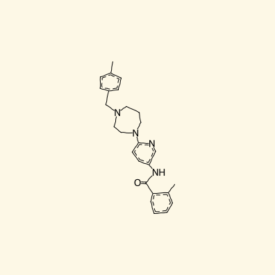 Cc1ccc(CN2CCCN(c3ccc(NC(=O)c4ccccc4C)cn3)CC2)cc1